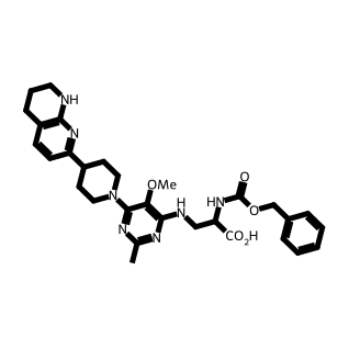 COc1c(NCC(NC(=O)OCc2ccccc2)C(=O)O)nc(C)nc1N1CCC(c2ccc3c(n2)NCCC3)CC1